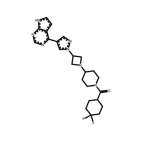 O=C(C1CCC(F)(F)CC1)N1CCC(N2C[C](n3cc(-c4ncnc5[nH]ccc45)cn3)C2)CC1